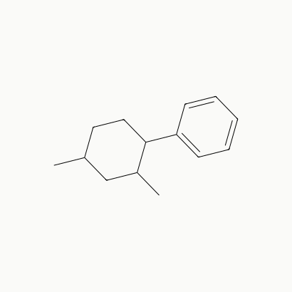 CC1CCC(c2ccccc2)C(C)C1